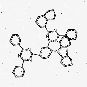 c1ccc(-c2nc(-c3ccccc3)nc(-c3ccc(-n4c5ccccc5c5ccccc54)c(-c4nc(-c5ccccc5)nc(-c5cccc6ccccc56)n4)c3)n2)cc1